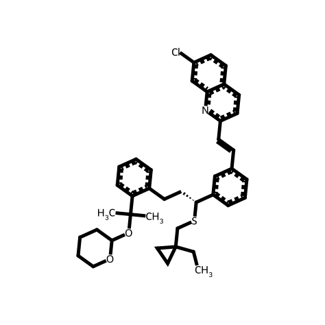 CCC1(CS[C@H](CCc2ccccc2C(C)(C)OC2CCCCO2)c2cccc(/C=C/c3ccc4ccc(Cl)cc4n3)c2)CC1